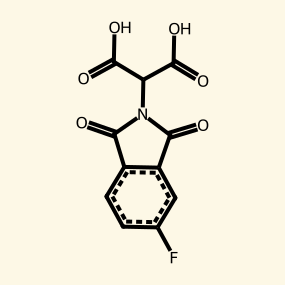 O=C(O)C(C(=O)O)N1C(=O)c2ccc(F)cc2C1=O